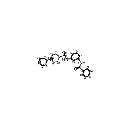 O=C(Nc1cccc(NC(=O)N2CCN(c3ccncn3)CC2)c1)c1ccccc1